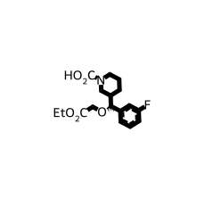 CCOC(=O)CO[C@@H](c1cccc(F)c1)C1CCCN(C(=O)O)C1